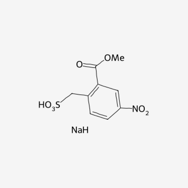 COC(=O)c1cc([N+](=O)[O-])ccc1CS(=O)(=O)O.[NaH]